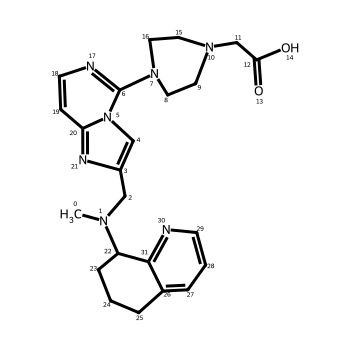 CN(Cc1cn2c(N3CCN(CC(=O)O)CC3)nccc2n1)C1CCCc2cccnc21